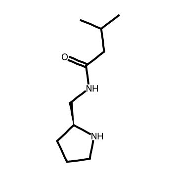 CC(C)CC(=O)NC[C@@H]1CCCN1